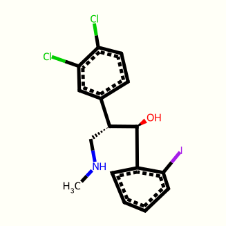 CNC[C@H](c1ccc(Cl)c(Cl)c1)[C@@H](O)c1ccccc1I